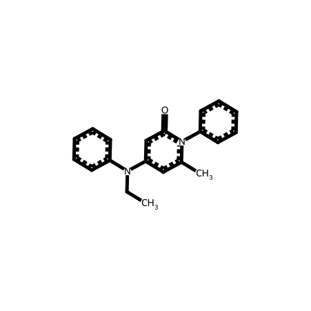 CCN(c1ccccc1)c1cc(C)n(-c2ccccc2)c(=O)c1